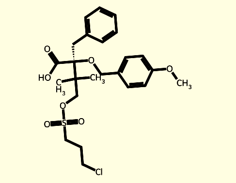 COc1ccc(CO[C@](Cc2ccccc2)(C(=O)O)C(C)(C)COS(=O)(=O)CCCCl)cc1